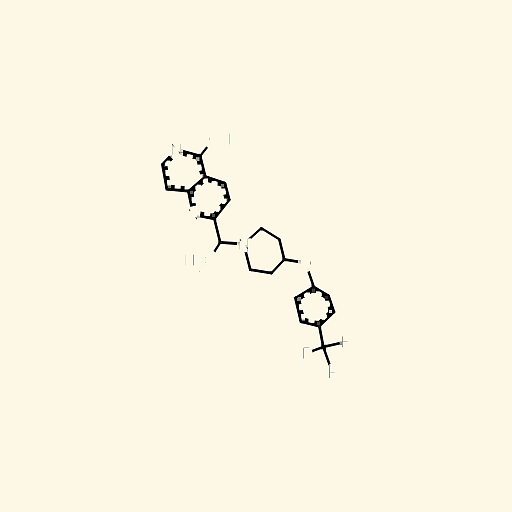 [CH2]C(c1ccc2c(C)nccc2n1)N1CCC(Oc2ccc(C(F)(F)F)cc2)CC1